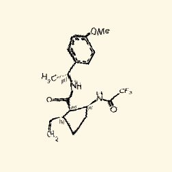 C=C[C@@H]1CC[C@H](NC(=O)C(F)(F)F)[C@@H]1C(=O)N[C@H](C)c1ccc(OC)cc1